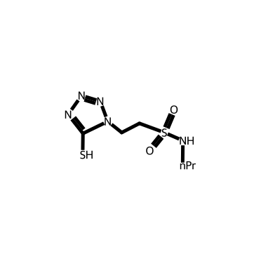 CCCNS(=O)(=O)CCn1nnnc1S